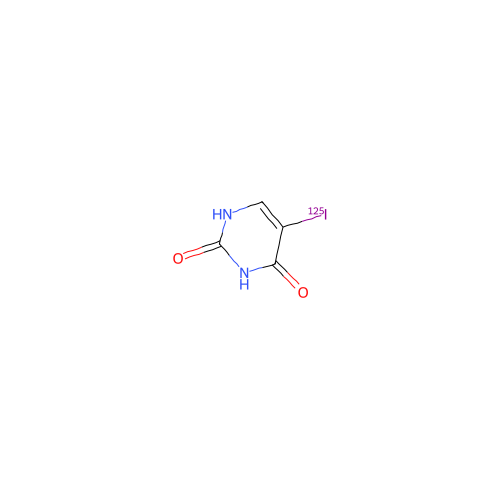 O=c1[nH]cc([125I])c(=O)[nH]1